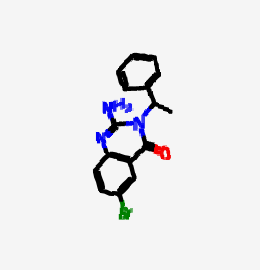 CC(c1ccccc1)n1c(N)nc2ccc(Br)cc2c1=O